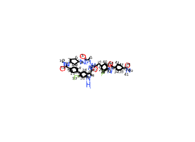 CCC(=O)N[C@H]1CC[C@@H](N(C)C(=O)c2ccc(-c3cc4c(-c5nnc(Cc6cc(F)c7nc(-c8ccc(C(=O)N(C)C)cc8)oc7c6)o5)c[nH]c4cc3F)cc2)C1